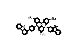 CC(C)(C)c1ccc2c(c1)N(c1ccc(-c3cccc4c3sc3ccccc34)cc1)c1cc(C(C)(C)C)cc3c1B2c1ccc(C(C)(C)C)cc1N3c1ccc2c(c1)C(C)(C)c1ccccc1-2